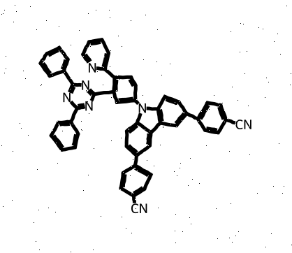 N#Cc1ccc(-c2ccc3c(c2)c2cc(-c4ccc(C#N)cc4)ccc2n3-c2ccc(-c3ccccn3)c(-c3nc(-c4ccccc4)nc(-c4ccccc4)n3)c2)cc1